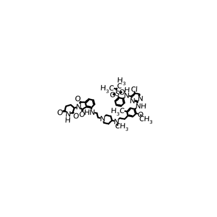 COc1cc(CCN(C)C2CCN(CCNc3cccc4c3C(=O)N(C3CCC(=O)NC3=O)C4=O)CC2)c(C)cc1Nc1ncc(Cl)c(Nc2ccccc2S(=O)(=O)C(C)C)n1